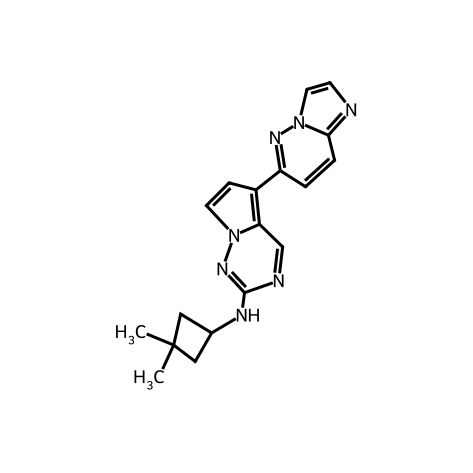 CC1(C)CC(Nc2ncc3c(-c4ccc5nccn5n4)ccn3n2)C1